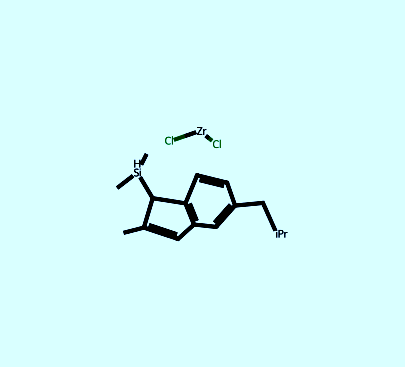 CC1=Cc2cc(CC(C)C)ccc2C1[SiH](C)C.[Cl][Zr][Cl]